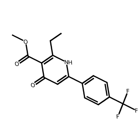 CCc1[nH]c(-c2ccc(C(F)(F)F)cc2)cc(=O)c1C(=O)OC